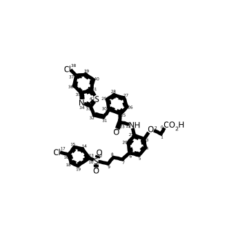 O=C(O)COc1ccc(CCCS(=O)(=O)c2ccc(Cl)cc2)cc1NC(=O)c1ccccc1C=Cc1nc2cc(Cl)ccc2s1